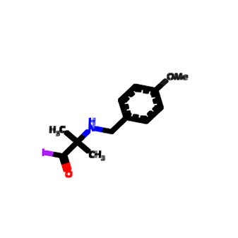 COc1ccc(CNC(C)(C)C(=O)I)cc1